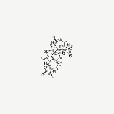 C=C1C(=O)C2=C3[C@H]1[C@H]1OC(=O)C(=C)[C@@H]1CC[C@]3(O)CC[C@]21C(=O)C[C@H]2C(=C)CC[C@H]3C(=C)C(=O)O[C@@H]3[C@H]21